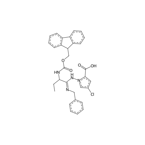 CCC(NC(=O)OCC1c2ccccc2-c2ccccc21)C(=NCc1ccccc1)Nn1cc(Cl)cc1C(=O)O